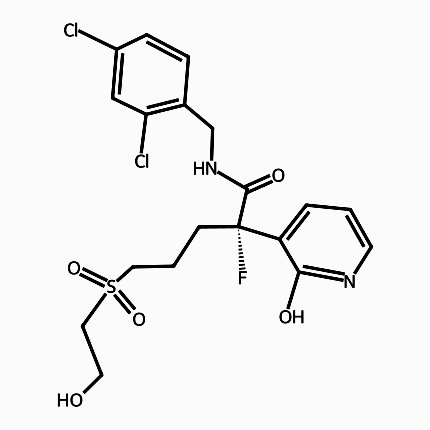 O=C(NCc1ccc(Cl)cc1Cl)[C@](F)(CCCS(=O)(=O)CCO)c1cccnc1O